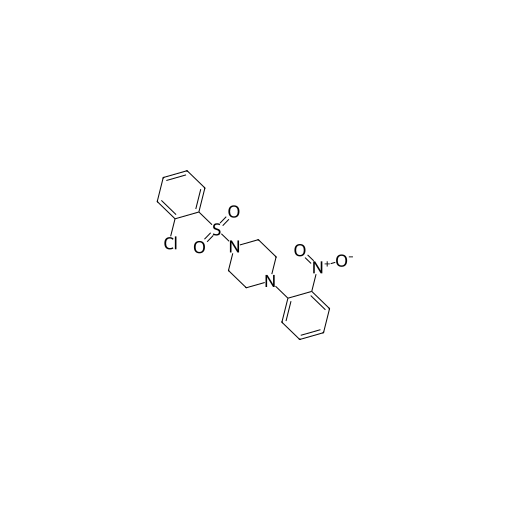 O=[N+]([O-])c1ccccc1N1CCN(S(=O)(=O)c2ccccc2Cl)CC1